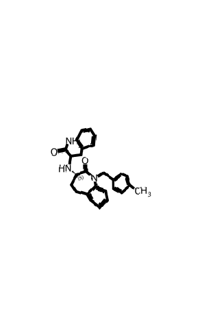 Cc1ccc(CN2C(=O)[C@@H](NC(Cc3ccccc3)C(N)=O)CCc3ccccc32)cc1